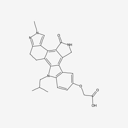 CC(C)Cn1c2ccc(OCC(=O)O)cc2c2c3c(c4c(c21)CCc1nn(C)cc1-4)C(=O)NC3